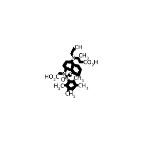 C#CCN(c1ccc(N(CC(=O)O)S(=O)(=O)c2c(C)c(C)cc(C)c2C)c2ccccc12)[C@@H](C)CC(=O)O